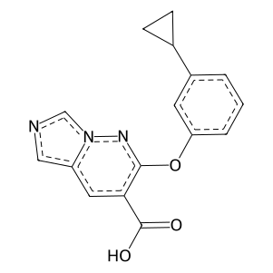 O=C(O)c1cc2cncn2nc1Oc1cccc(C2CC2)c1